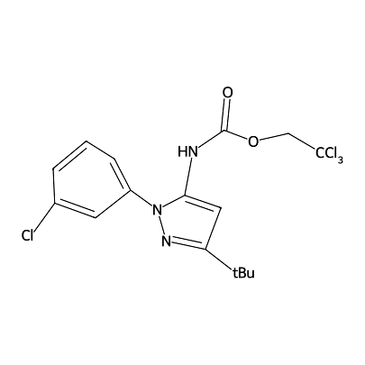 CC(C)(C)c1cc(NC(=O)OCC(Cl)(Cl)Cl)n(-c2cccc(Cl)c2)n1